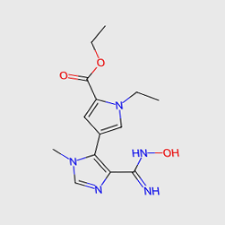 CCOC(=O)c1cc(-c2c(C(=N)NO)ncn2C)cn1CC